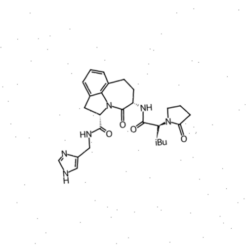 CC[C@H](C)[C@@H](C(=O)N[C@H]1CCc2cccc3c2N(C1=O)[C@H](C(=O)NCc1c[nH]cn1)C3)N1CCCC1=O